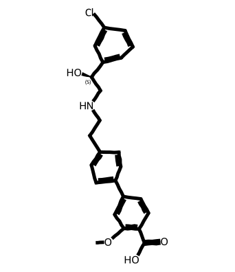 COc1cc(-c2ccc(CCNC[C@@H](O)c3cccc(Cl)c3)cc2)ccc1C(=O)O